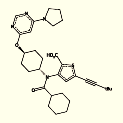 CC(C)(C)C#Cc1cc(N(C(=O)C2CCCCC2)[C@H]2CC[C@H](Oc3cc(N4CCCC4)ncn3)CC2)c(C(=O)O)s1